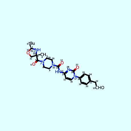 CC(C)(C)[C@H]1N[C@](C)(C(=O)N2CCN(C(=O)Nc3ccn(-c4ccc(CC=O)cc4)c(=O)n3)CC2)CO1